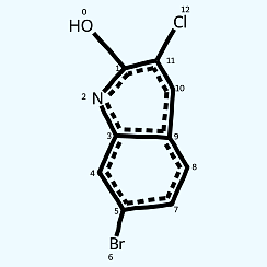 Oc1nc2cc(Br)ccc2cc1Cl